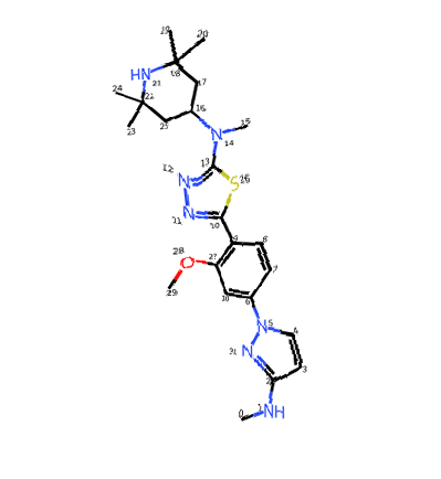 CNc1ccn(-c2ccc(-c3nnc(N(C)C4CC(C)(C)NC(C)(C)C4)s3)c(OC)c2)n1